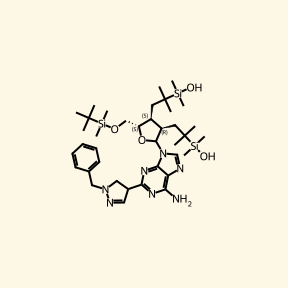 CC(C)(C[C@@H]1[C@@H](CO[Si](C)(C)C(C)(C)C)OC(n2cnc3c(N)nc(C4C=NN(Cc5ccccc5)C4)nc32)[C@@H]1CC(C)(C)[Si](C)(C)O)[Si](C)(C)O